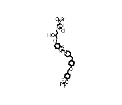 O=[N+]([O-])c1cn(CC[C@@H](O)COc2ccc3nc(N4CCC(Cc5ccc(OCc6ccc(OC(F)(F)F)cc6)cc5)CC4)sc3c2)c(Cl)n1